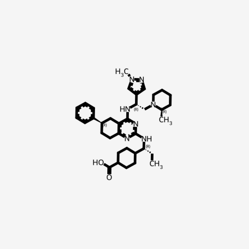 CC[C@@H](Nc1nc2c(c(N[C@@H](CN3CCCC[C@H]3C)c3cnn(C)c3)n1)C[C@H](c1ccccc1)CC2)C1CCC(C(=O)O)CC1